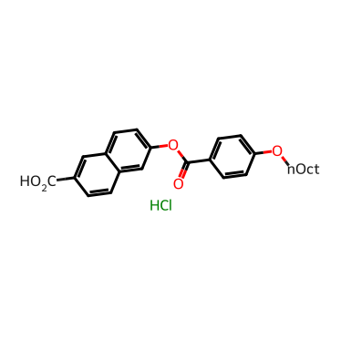 CCCCCCCCOc1ccc(C(=O)Oc2ccc3cc(C(=O)O)ccc3c2)cc1.Cl